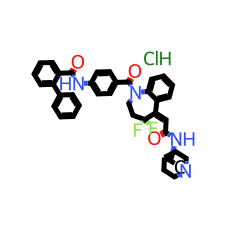 Cl.O=C(/C=C1/c2ccccc2N(C(=O)c2ccc(NC(=O)c3ccccc3-c3ccccc3)cc2)CCC1(F)F)NC1CN2CCC1CC2